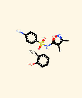 Cc1noc(NS(=O)(=O)c2ccc(N)cc2)c1C.O=C(O)c1ccccc1O